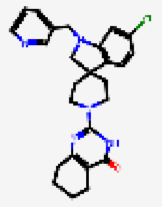 O=c1[nH]c(N2CCC3(CC2)CN(Cc2cccnc2)c2cc(Cl)ccc23)nc2c1CCCC2